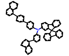 c1cc(-c2cccc3ccccc23)cc(N(c2ccc(-c3ccc(-c4cccc5ccccc45)cc3)cc2)c2ccc3c(c2)C2(c4ccccc4-c4ccccc42)c2ccccc2-3)c1